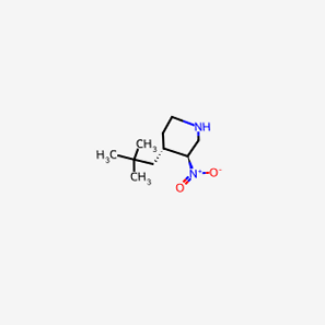 CC(C)(C)C[C@@H]1CCNC[C@H]1[N+](=O)[O-]